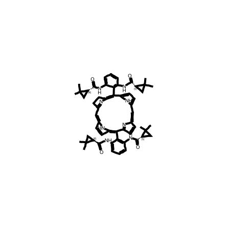 CC1(C)C[C@@H]1C(=O)Nc1cccc(NC(=O)[C@@H]2CC2(C)C)c1-c1c2nc(cc3ccc([nH]3)c(-c3c(NC(=O)[C@H]4CC4(C)C)cccc3NC(=O)[C@@H]3CC3(C)C)c3nc(cc4ccc1[nH]4)CC3)C=C2